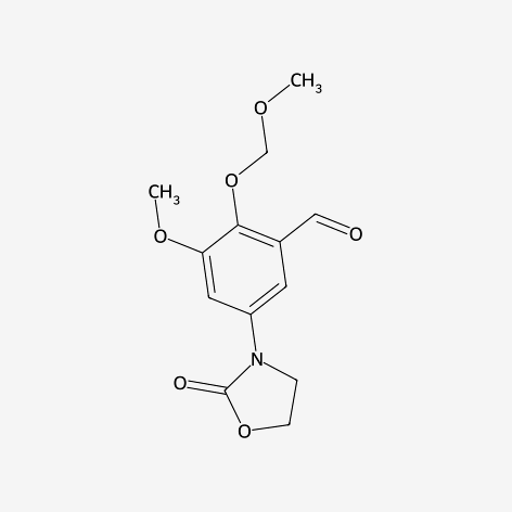 COCOc1c(C=O)cc(N2CCOC2=O)cc1OC